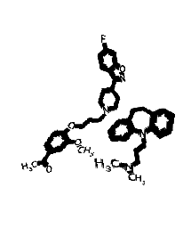 CN(C)CCCN1c2ccccc2CCc2ccccc21.COc1cc(C(C)=O)ccc1OCCCN1CCC(c2noc3cc(F)ccc23)CC1